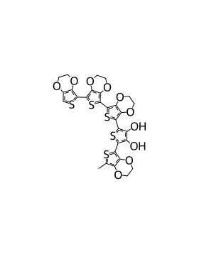 Cc1sc(-c2sc(-c3sc(-c4sc(-c5scc6c5OCCO6)c5c4OCCO5)c4c3OCCO4)c(O)c2O)c2c1OCCO2